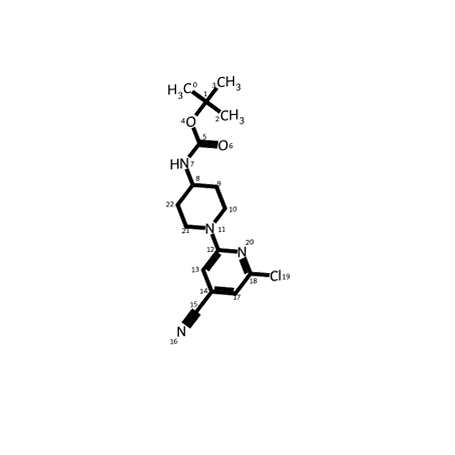 CC(C)(C)OC(=O)NC1CCN(c2cc(C#N)cc(Cl)n2)CC1